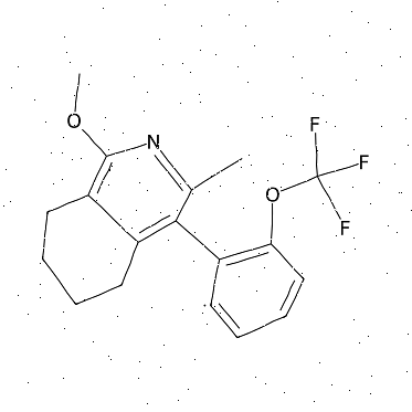 COc1nc(C)c(-c2[c]cccc2OC(F)(F)F)c2c1CCCC2